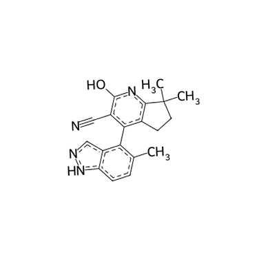 Cc1ccc2[nH]ncc2c1-c1c(C#N)c(O)nc2c1CCC2(C)C